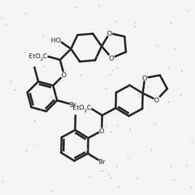 CCOC(=O)C(Oc1c(C)cccc1Br)C1(O)CCC2(CC1)OCCO2.CCOC(=O)C(Oc1c(C)cccc1Br)C1=CCC2(CC1)OCCO2